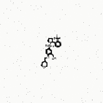 O=S(=O)(c1ccc(OCC2CCOCC2)c(CO)c1)N1CCCC1c1ccccc1C(F)(F)F